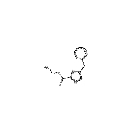 CCOC(=O)c1ncc(Sc2ccccc2)s1